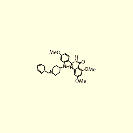 COc1ccc(-c2nc3cc(OC)cc(OC)c3c(=O)[nH]2)c(NC2CCN(Cc3ccccc3)CC2)c1